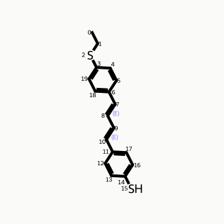 CCSc1ccc(/C=C/C=C/c2ccc(S)cc2)cc1